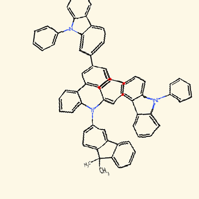 CC1(C)c2ccccc2-c2cc(N(c3ccccc3)c3ccccc3-c3cc(-c4ccc5c(c4)c4ccccc4n5-c4ccccc4)cc(-c4ccc5c6ccccc6n(-c6ccccc6)c5c4)c3)ccc21